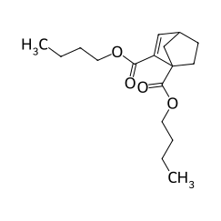 CCCCOC(=O)C1=CC2CCC1(C(=O)OCCCC)C2